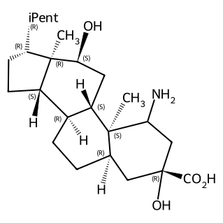 CCC[C@@H](C)[C@H]1CC[C@H]2[C@@H]3CC[C@@H]4C[C@](O)(C(=O)O)CC(N)[C@]4(C)[C@H]3C[C@H](O)[C@]12C